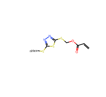 C=CC(=O)OCSc1nnc(SCCCCCC)s1